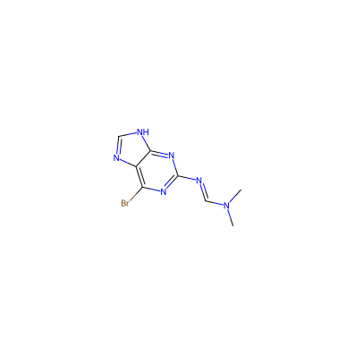 CN(C)/C=N/c1nc(Br)c2nc[nH]c2n1